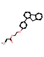 C=CC(=O)OCCOc1ccc(-c2cccc3c2Cc2ccccc2-3)cc1